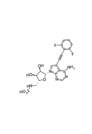 Nc1ncnc2c1c(C#Cc1c(F)cccc1F)cn2[C@@H]1O[C@H](CNS(=O)(=O)O)[C@@H](O)[C@H]1O